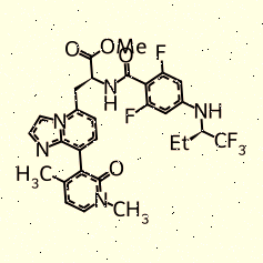 CC[C@@H](Nc1cc(F)c(C(=O)N[C@@H](Cc2ccc(-c3c(C)ccn(C)c3=O)c3nccn23)C(=O)OC)c(F)c1)C(F)(F)F